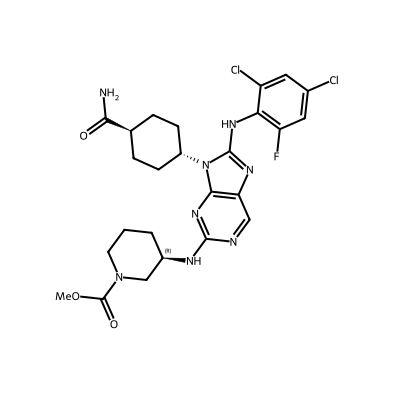 COC(=O)N1CCC[C@@H](Nc2ncc3nc(Nc4c(F)cc(Cl)cc4Cl)n([C@H]4CC[C@H](C(N)=O)CC4)c3n2)C1